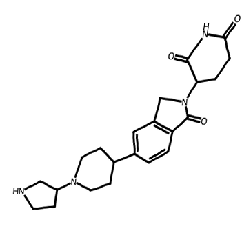 O=C1CCC(N2Cc3cc(C4CCN(C5CCNC5)CC4)ccc3C2=O)C(=O)N1